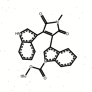 CN1C(=O)C(c2c[nH]c3ccccc23)=C(c2cn(C(=O)OC(C)(C)C)c3ccccc23)C1=O